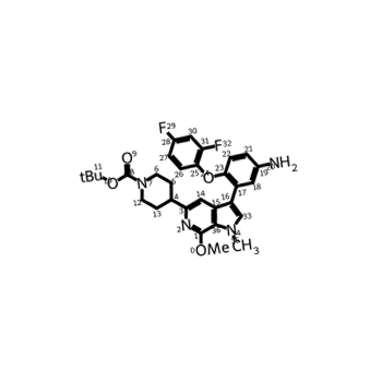 COc1nc(C2CCN(C(=O)OC(C)(C)C)CC2)cc2c(-c3cc(N)ccc3Oc3ccc(F)cc3F)cn(C)c12